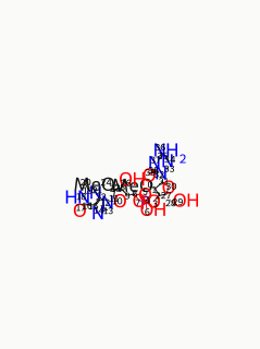 CO[C@H]1C(OP(=O)(O)OC[C@H]2O[C@@H](n3cnc4c(=O)[nH]c(C)nc43)[C@@H](OC)C2O)[C@@H](CO)O[C@H]1n1cnc(N)nc1=O